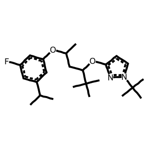 CC(CC(Oc1ccn(C(C)(C)C)n1)C(C)(C)C)Oc1cc(F)cc(C(C)C)c1